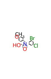 COc1ccc(CN2[C@H](CO)COC[C@H]2c2cc(Cl)cc(Br)c2)cc1